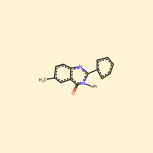 CCCn1c(-c2ccccc2)nc2ccc(C)cc2c1=O